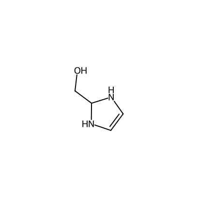 OCC1NC=CN1